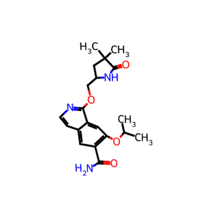 CC(C)Oc1cc2c(OCC3CC(C)(C)C(=O)N3)nccc2cc1C(N)=O